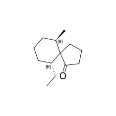 CC[C@@H]1CCC[C@@H](C)C12CCCC2=O